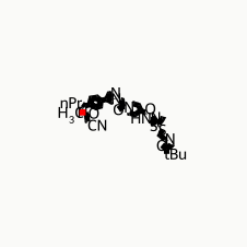 CCCC(c1ccc(-c2cnn(CC(=O)N3CCC(C(=O)Nc4ncc(SCc5ncc(C(C)(C)C)o5)s4)CC3)c2)cc1)N(C)C(=O)CC#N